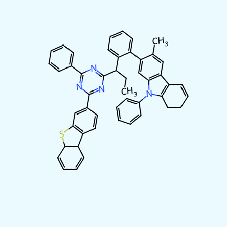 CCC(c1nc(-c2ccccc2)nc(-c2ccc3c(c2)SC2C=CC=CC32)n1)c1ccccc1-c1cc2c(cc1C)c1c(n2-c2ccccc2)CCC=C1